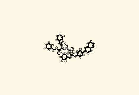 CC(C)CN(CC(CCc1ccccc1)C(=O)OCc1ccccc1)C(=O)N[C@@](Cc1ccccc1)(Cc1ccc(-c2ccc3ccccc3c2)cc1)C(=O)O